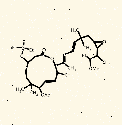 CCC(OC)C(C)C1OC1CC(C)(C)/C=C/C=C(\C)C1OC(=O)CC(O[Si](CC)(CC)C(C)C)CCC(C)(C)C(OC(C)=O)/C=C/C1C